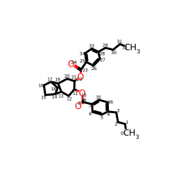 CCCCc1ccc(C(=O)OC2CC3C4CCC(C4)C3CC2OC(=O)c2ccc(CCCC)cc2)cc1